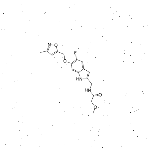 COCC(=O)NCc1cc2cc(F)c(OCc3cc(C)no3)cc2[nH]1